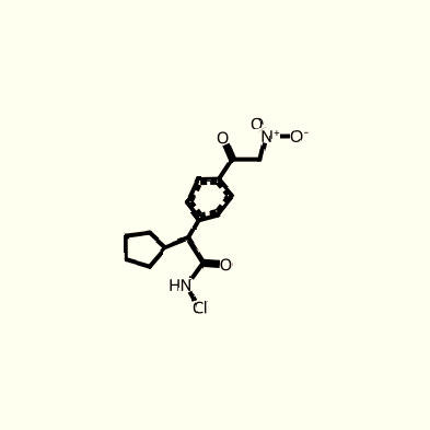 O=C(C[N+](=O)[O-])c1ccc(C(C(=O)NCl)C2CCCC2)cc1